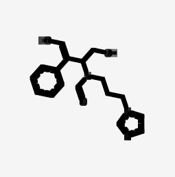 O=CN(CCCn1ccnc1)C(CO)/C(=C/O)c1ccccc1